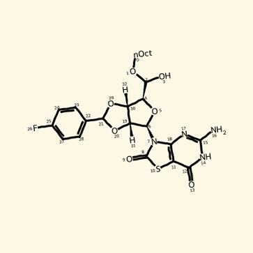 CCCCCCCCOC(O)[C@H]1O[C@@H](n2c(=O)sc3c(=O)[nH]c(N)nc32)[C@@H]2OC(c3ccc(F)cc3)O[C@@H]21